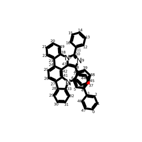 c1ccc(-c2ccc(-c3nc(-c4ccccc4)n4c5ccccc5c5ccc6c7ccccc7n(-c7ccccc7)c6c5c34)cc2)cc1